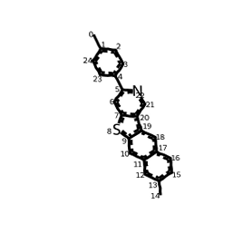 Cc1ccc(-c2cc3sc4cc5cc(C)ccc5cc4c3cn2)cc1